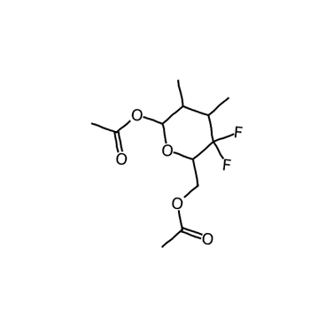 CC(=O)OCC1OC(OC(C)=O)C(C)C(C)C1(F)F